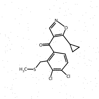 CSCc1c(C(=O)c2cnoc2C2CC2)ccc(Cl)c1Cl